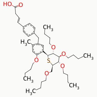 CCCCOC[C@H]1S[C@@H](c2cc(Cc3ccc(/C=C/CC(=O)O)cc3)c(C)cc2OCCCC)[C@H](OCCCC)[C@@H](OCCCC)[C@@H]1OCCCC